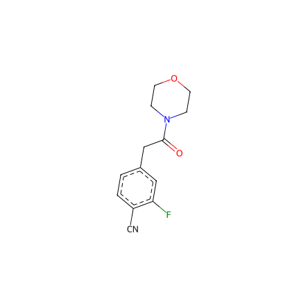 N#Cc1ccc(CC(=O)N2CCOCC2)cc1F